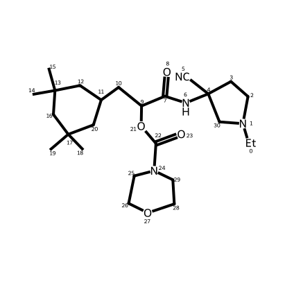 CCN1CCC(C#N)(NC(=O)C(CC2CC(C)(C)CC(C)(C)C2)OC(=O)N2CCOCC2)C1